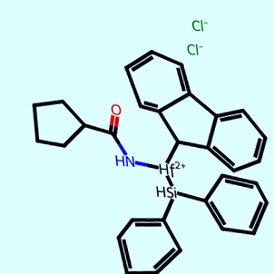 O=C([NH][Hf+2]([CH]1c2ccccc2-c2ccccc21)[SiH](c1ccccc1)c1ccccc1)C1CCCC1.[Cl-].[Cl-]